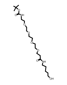 CC(C)(C)OC(=O)NCCOCCOCCOCCOCCC(=O)NCCCCCO